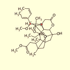 C/C=C\C(=C/C)C(OC)C(C)(C)C1CC(=O)OC2C3(O)CC45CC(C)(C3O)C(CC(=O)OC)C4(C)C3(CC)OC(C)(O5)OC123